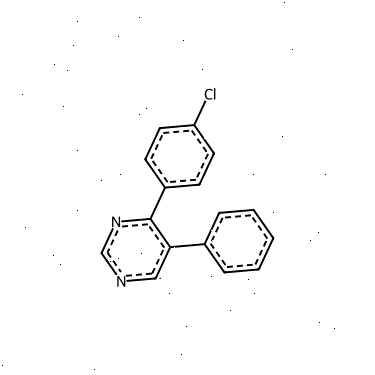 Clc1ccc(-c2ncn[c]c2-c2ccccc2)cc1